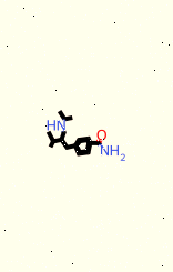 CC(C)NCC(Cc1ccc(C(N)=O)cc1)C(C)C